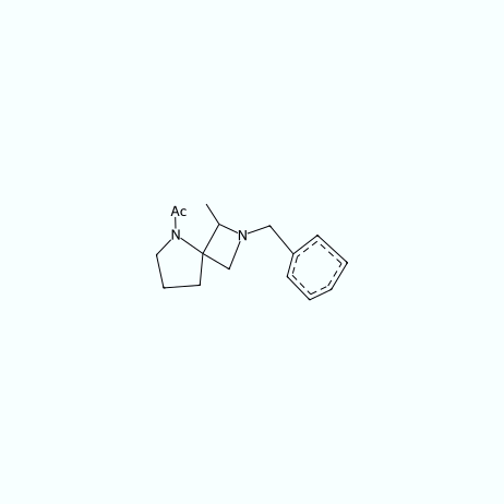 CC(=O)N1CCCC12CN(Cc1ccccc1)C2C